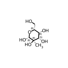 C[C@]1(O)[C@H](O)O[C@H](CO)[C@H](O)[C@@H]1O